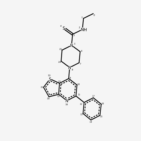 CCNC(=S)N1CCN(c2cc(-c3ccccc3)nc3ccsc23)CC1